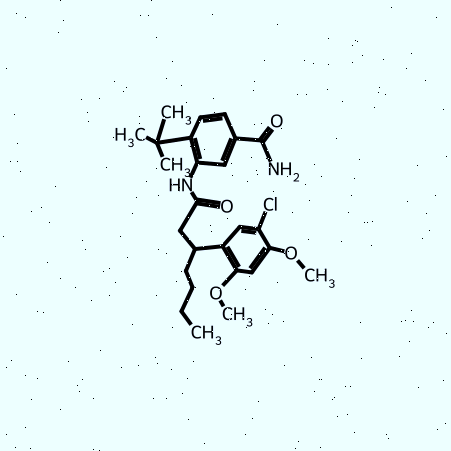 CCCCC(CC(=O)Nc1cc(C(N)=O)ccc1C(C)(C)C)c1cc(Cl)c(OC)cc1OC